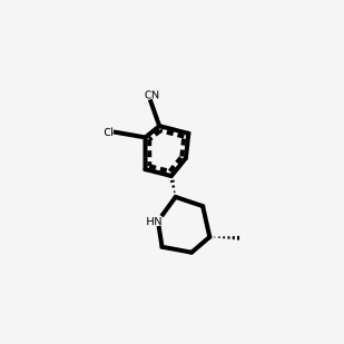 C[C@@H]1CCN[C@H](c2ccc(C#N)c(Cl)c2)C1